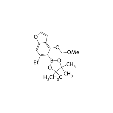 CCc1cc2occc2c(OCOC)c1B1OC(C)(C)C(C)(C)O1